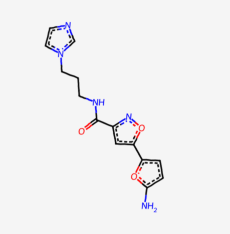 Nc1ccc(-c2cc(C(=O)NCCCn3ccnc3)no2)o1